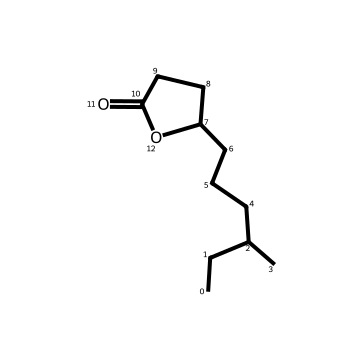 CCC(C)CCCC1CCC(=O)O1